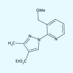 CCOC(=O)c1cn(-c2ncccc2COC)nc1C